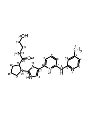 Cc1ccnc(Nc2cccc(-c3cnc(N4CCCC4C(=O)NCCO)s3)n2)c1